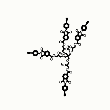 C#Cc1ccc(N2C(=O)c3ccc(C(=O)OCC(O)COCC(COCC(O)COC(=O)c4ccc5c(c4)C(=O)N(c4ccc(C#C)cc4)C5=O)(COCC(O)COC(=O)c4ccc5c(c4)C(=O)N(c4ccc(C#C)cc4)C5=O)COCC(O)COC(=O)c4ccc5c(c4)C(=O)N(c4ccc(C#C)cc4)C5=O)cc3C2=O)cc1